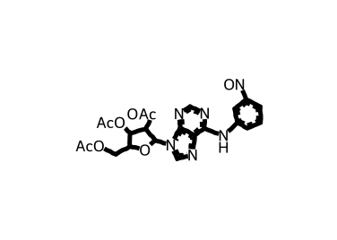 CC(=O)OCC1OC(n2cnc3c(Nc4cccc(N=O)c4)ncnc32)C(OC(C)=O)C1OC(C)=O